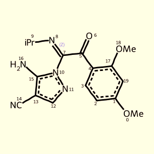 COc1ccc(C(=O)/C(=N/C(C)C)n2ncc(C#N)c2N)c(OC)c1